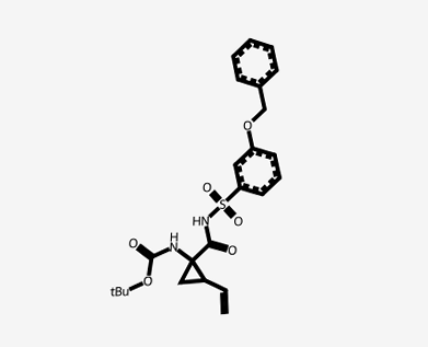 C=CC1CC1(NC(=O)OC(C)(C)C)C(=O)NS(=O)(=O)c1cccc(OCc2ccccc2)c1